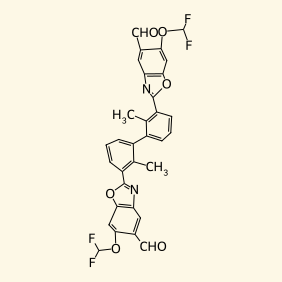 Cc1c(-c2nc3cc(C=O)c(OC(F)F)cc3o2)cccc1-c1cccc(-c2nc3cc(C=O)c(OC(F)F)cc3o2)c1C